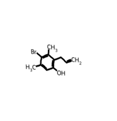 C=CCc1c(O)cc(C)c(Br)c1C